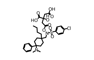 CCCCC1(CN(OC(=O)CC(O)(CC(=O)O)C(=O)O)S(=O)(=O)c2ccc(Cl)cc2)CCC(c2ccccc2)(N(C)C)CC1